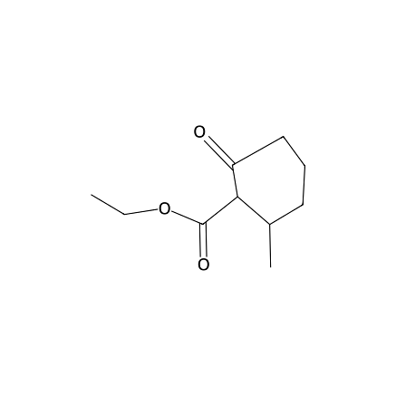 CCOC(=O)C1C(=O)CCCC1C